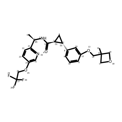 C[C@@H](NC(=O)[C@H]1C[C@@H]1c1cccc(OCC2(C)COC2)c1)c1ccc(OCC(F)(F)F)cn1